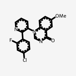 COc1ccc2c(c1)c(=O)ncn2-c1cccnc1-c1ccc(Cl)cc1F